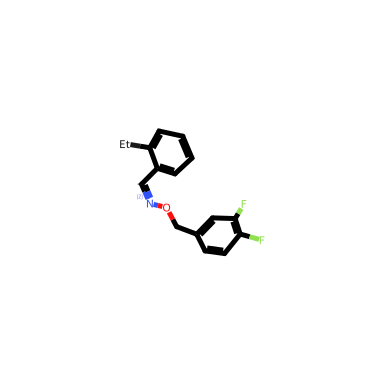 CCc1ccccc1/[C]=N\OCc1ccc(F)c(F)c1